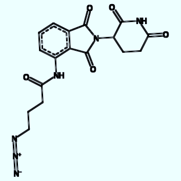 [N-]=[N+]=NCCCC(=O)Nc1cccc2c1C(=O)N(C1CCC(=O)NC1=O)C2=O